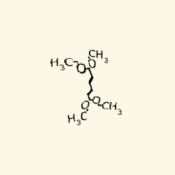 CCOC(/C=C/C=C/C(OCC)OCC)OCC